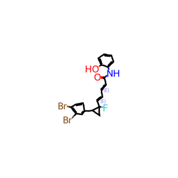 O=C(/C=C/C=C/C1(F)CC1c1ccc(Br)c(Br)c1)Nc1ccccc1O